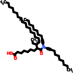 CCCCCCCCC#CN(C#CCCCCCCCC)C(=O)C(CCCCCCC(=O)O)C(CC)CCCCCCCCCCCCCCCCC